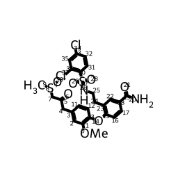 COc1cc(CC(=O)C[S+](C)[O-])ccc1Oc1ccc(C(N)=O)cc1CCNS(=O)(=O)c1ccc(Cl)cc1Cl